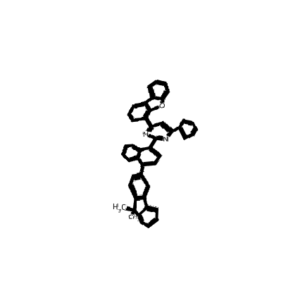 CC1(C)c2ccccc2-c2cc(-c3ccc(-c4nc(-c5ccccc5)cc(-c5cccc6c5oc5ccccc56)n4)c4ccccc34)ccc21